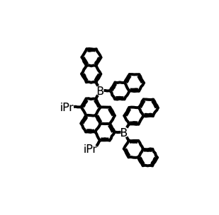 CC(C)c1cc(B(c2ccc3ccccc3c2)c2ccc3ccccc3c2)c2ccc3c(B(c4ccc5ccccc5c4)c4ccc5ccccc5c4)cc(C(C)C)c4ccc1c2c34